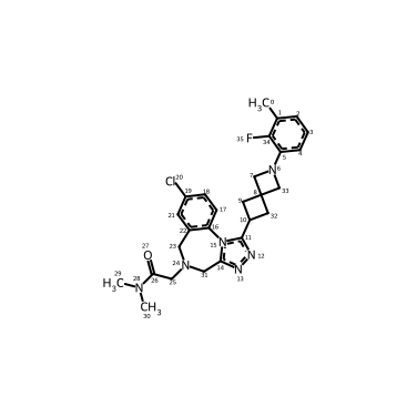 Cc1cccc(N2CC3(CC(c4nnc5n4-c4ccc(Cl)cc4CN(CC(=O)N(C)C)C5)C3)C2)c1F